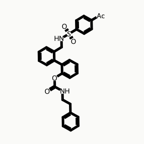 CC(=O)c1ccc(S(=O)(=O)NCc2ccccc2-c2ccccc2OC(=O)NCCc2ccccc2)cc1